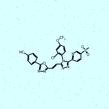 CS(=O)(=O)c1ccc(-c2nnc(/C=C/c3nnc(-c4ccc(C#N)cc4)o3)n2-c2ccc(OC(F)(F)F)cc2Cl)nc1